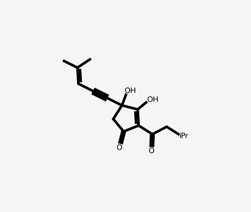 CC(C)=CC#CC1(O)CC(=O)C(C(=O)CC(C)C)=C1O